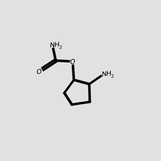 NC(=O)OC1CCCC1N